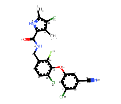 Cc1[nH]c(C(=O)NCc2ccc(Cl)c(Oc3cc(Cl)cc(C#N)c3)c2F)c(C)c1Cl